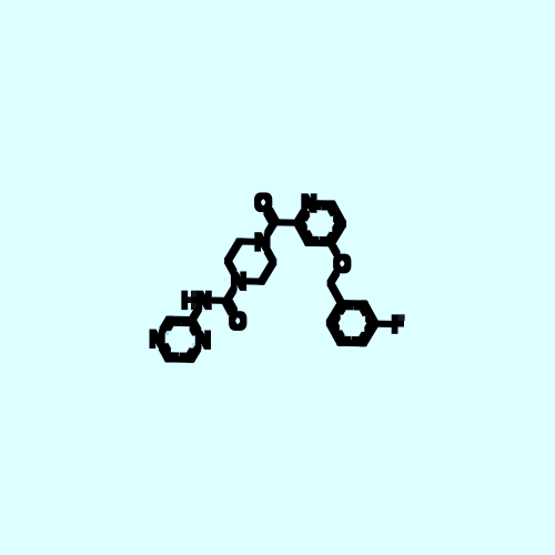 O=C(Nc1cnccn1)N1CCN(C(=O)c2cc(OCc3cccc(F)c3)ccn2)CC1